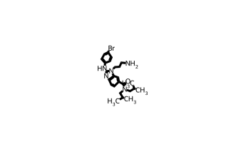 CC(C)CN(CC(C)C)C(=O)c1ccc2nc(Nc3ccc(Br)cc3)n(CCCN)c2c1